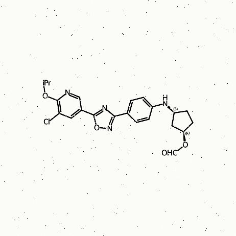 CC(C)Oc1ncc(-c2nc(-c3ccc(N[C@H]4CC[C@@H](OC=O)C4)cc3)no2)cc1Cl